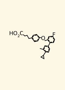 Cc1cc(-c2ccc(F)cc2COc2ccc(CCCC(=O)O)cc2)ccc1C1CC1